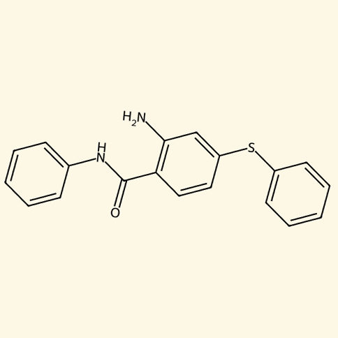 Nc1cc(Sc2ccccc2)ccc1C(=O)Nc1ccccc1